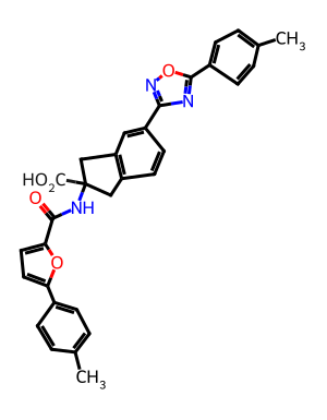 Cc1ccc(-c2ccc(C(=O)NC3(C(=O)O)Cc4ccc(-c5noc(-c6ccc(C)cc6)n5)cc4C3)o2)cc1